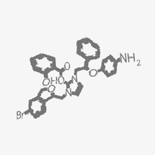 Nc1ccc(OC(CN2C=CN(CC3OCc4cc(Br)ccc43)C2OC(=O)c2ccccc2O)c2ccccc2)cc1